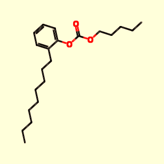 CCCCCCCCCc1ccccc1OC(=O)OCCCCC